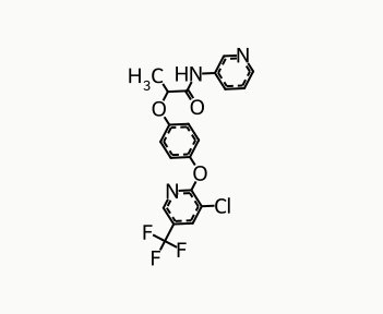 CC(Oc1ccc(Oc2ncc(C(F)(F)F)cc2Cl)cc1)C(=O)Nc1cccnc1